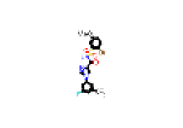 COc1ccc(Br)c(S(=O)(=O)NC(=O)c2cn(-c3cc(F)cc(C(F)(F)F)c3)cn2)c1